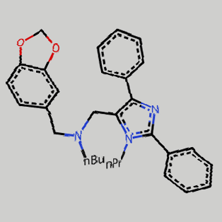 CCCCN(Cc1ccc2c(c1)OCO2)Cc1c(-c2ccccc2)nc(-c2ccccc2)n1CCC